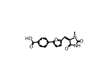 CN1C(=O)NC(=O)/C1=C\c1ccc(-c2ccc(C(=O)O)cc2)o1